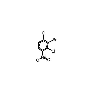 O=[N+]([O-])c1ccc(Cl)c(Br)c1Cl